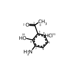 CC(=O)c1cccc(N)c1O.Cl